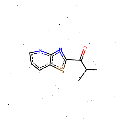 CC(C)C(=O)c1nc2ncccc2s1